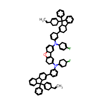 C=CC1C=CC(C2(c3ccccc3)C3C=CC=CC3C3C=CC(c4cccc(N(C5=CC6=C(CC5)OC5C=CC(N(C7=CC(C8=CC9C(CC8)c8ccccc8C9(c8ccccc8)C8C=CC(C=C)CC8)CC=C7)C7C=CC(F)=CC7)=CC65)C5=CCC(F)CC5)c4)=CC32)=CC1